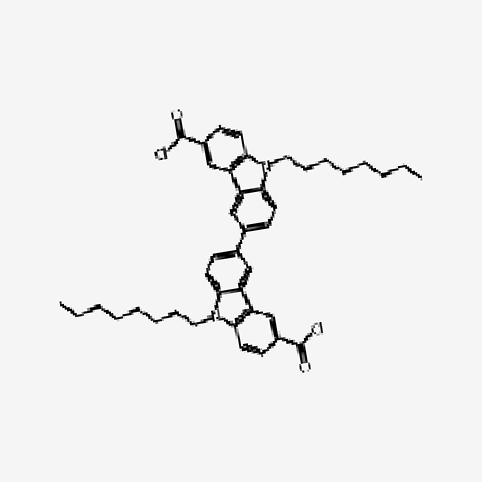 CCCCCCCCn1c2ccc(C(=O)Cl)cc2c2cc(-c3ccc4c(c3)c3cc(C(=O)Cl)ccc3n4CCCCCCCC)ccc21